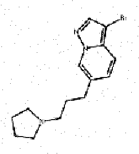 Brc1cnn2cc(CCCN3CCCC3)ccc12